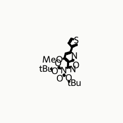 COc1cc(-c2ccsc2)nc2onc(N(C(=O)OC(C)(C)C)C(=O)OC(C)(C)C)c12